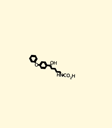 O=C(O)NCCCC[C@H](O)c1ccc(Oc2ccccc2)cc1